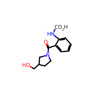 O=C(O)Nc1ccccc1C(=O)N1CCC(CO)C1